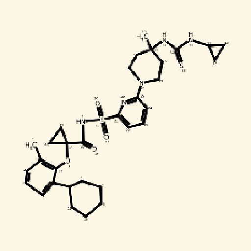 Cc1cccc(C2CCCCC2)c1OC1(C(=O)NS(=O)(=O)c2cccc(N3CCC(C)(NC(=S)NC4CC4)CC3)n2)CC1